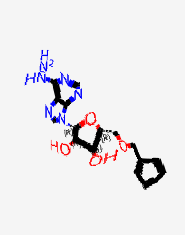 NNc1ncnc2c1ncn2[C@@H]1O[C@H](COCc2ccccc2)[C@@H](O)[C@H]1O